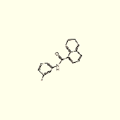 Cc1cccc(NC(=O)c2cccc3ccccc23)c1